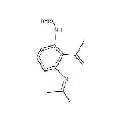 C=C(C)c1c(N=C(C)C)cccc1NCCCCCC